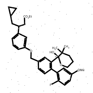 CCOC(=O)CC(CC1CC1)c1cccc(OCc2ccc(-c3cc(OC)ccc3F)c([C@@]3(O)OCCCC3(C)C)c2)c1